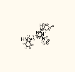 Cc1ccc(Nc2nc(CCc3c[nH]c4ccccc34)nc(N3CCOCC3)n2)cc1